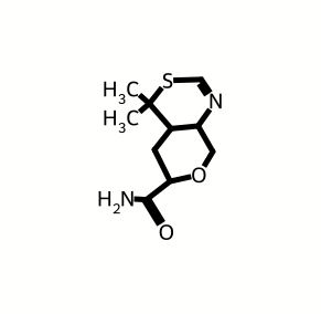 CC1(C)SC=NC2COC(C(N)=O)CC21